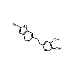 CC(=O)c1cc2ccc(CCc3ccc(O)c(O)c3)cc2o1